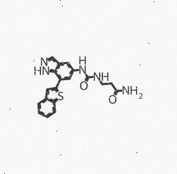 NC(=O)CCNC(=O)Nc1cc(-c2cc3ccccc3s2)c2[nH]ncc2c1